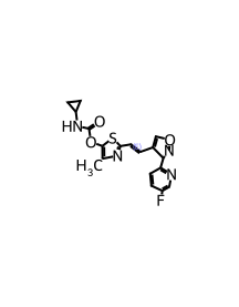 Cc1nc(/C=C/c2conc2-c2ccc(F)cn2)sc1OC(=O)NC1CC1